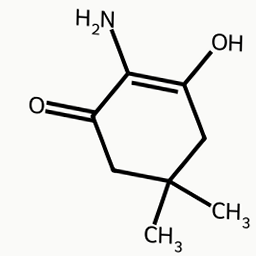 CC1(C)CC(=O)C(N)=C(O)C1